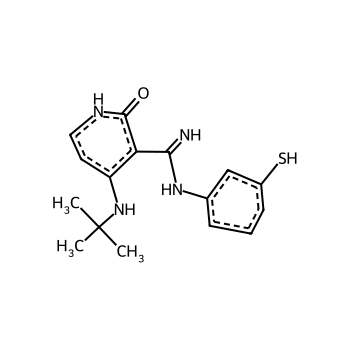 CC(C)(C)Nc1cc[nH]c(=O)c1C(=N)Nc1cccc(S)c1